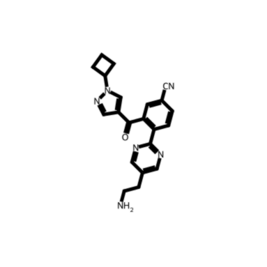 N#Cc1ccc(-c2ncc(CCN)cn2)c(C(=O)c2cnn(C3CCC3)c2)c1